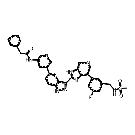 CS(=O)(=O)NCc1cc(F)cc(-c2cncc3[nH]c(-c4n[nH]c5ccc(-c6cncc(NC(=O)Cc7ccccc7)c6)nc45)nc23)c1